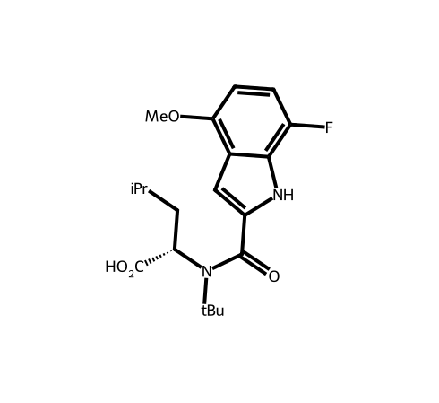 COc1ccc(F)c2[nH]c(C(=O)N([C@@H](CC(C)C)C(=O)O)C(C)(C)C)cc12